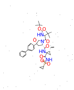 C=C[C@@H]1C[C@]1(NC(=O)[C@@H]1C[C@@](OC)(c2ccc(-c3ccccc3)cc2)CN1C(=O)[C@@H](NC(=O)OC(C)(C)C)C(C)(C)C)C(=O)NS(=O)(=O)C1CC1